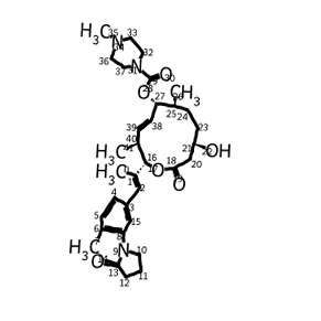 C/C(=C\c1ccc(C)c(N2CCCC2=O)c1)[C@H]1OC(=O)C[C@H](O)CC[C@H](C)[C@@H](OC(=O)N2CCN(C)CC2)/C=C/[C@@H]1C